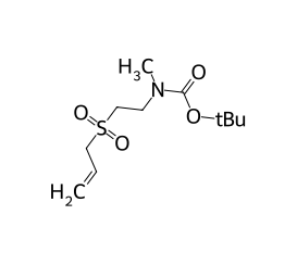 C=CCS(=O)(=O)CCN(C)C(=O)OC(C)(C)C